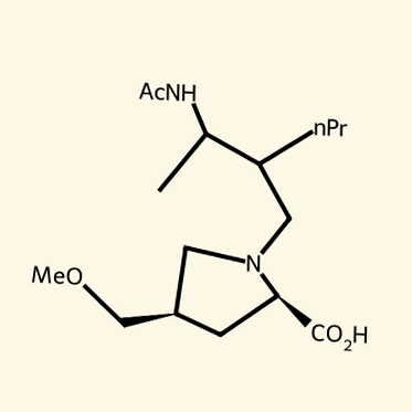 CCCC(CN1C[C@H](COC)C[C@@H]1C(=O)O)C(C)NC(C)=O